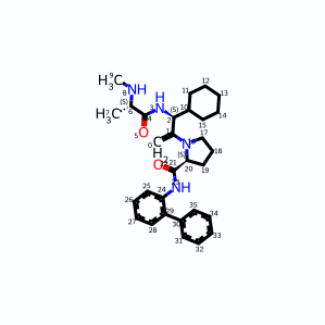 C=C([C@@H](NC(=O)[C@H](C)NC)C1CCCCC1)N1CCC[C@H]1C(=O)Nc1ccccc1-c1ccccc1